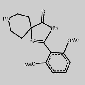 COc1cccc(OC)c1C1=NC2(CCNCC2)C(=O)N1